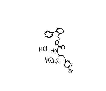 Cl.O=C(NC(Cc1ccc(Br)nc1)C(=O)O)OCC1c2ccccc2-c2ccccc21